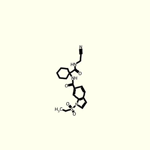 CCS(=O)(=O)n1ccc2ccc(C(=O)NC3(C(=O)NCC#N)CCCCC3)cc21